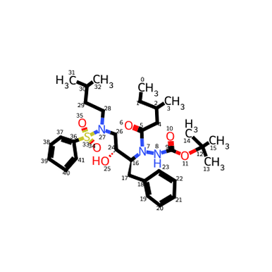 CCC(C)CC(=O)N(NC(=O)OC(C)(C)C)[C@@H](Cc1ccccc1)[C@H](O)CN(CCC(C)C)S(=O)(=O)c1ccccc1